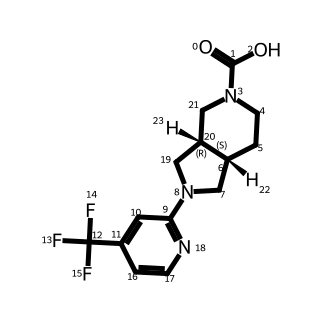 O=C(O)N1CC[C@@H]2CN(c3cc(C(F)(F)F)ccn3)C[C@@H]2C1